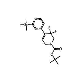 CC(C)(C)OC(=O)N1CC=C(c2ccn[c]([Sn]([CH3])([CH3])[CH3])c2)C(F)(F)C1